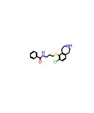 O=C(NCCCSc1c(Cl)ccc2c1CCNCC2)c1ccccc1